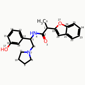 CC(C(=O)NC(CN1CCCC1)c1cccc(O)c1)c1cc2ccccc2o1